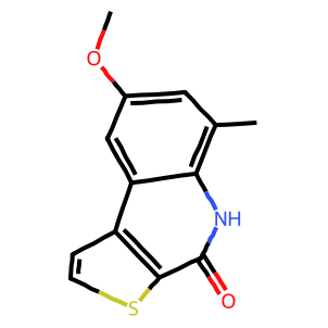 COc1cc(C)c2[nH]c(=O)c3sccc3c2c1